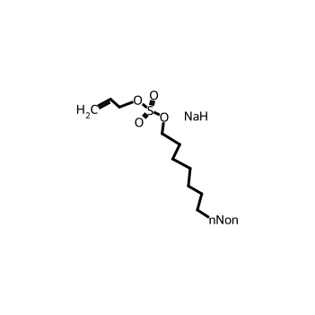 C=CCOS(=O)(=O)OCCCCCCCCCCCCCCCC.[NaH]